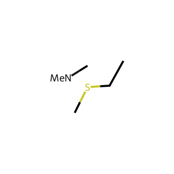 CCSC.CNC